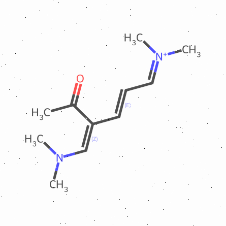 CC(=O)C(=C\N(C)C)/C=C/C=[N+](C)C